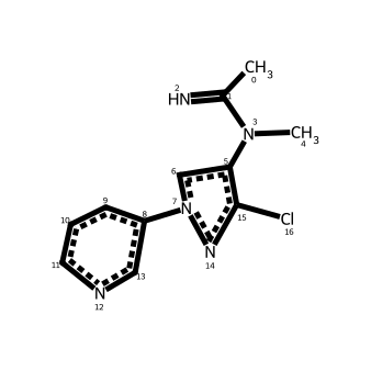 CC(=N)N(C)c1cn(-c2cccnc2)nc1Cl